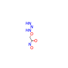 N=NNOCC(=O)N=O